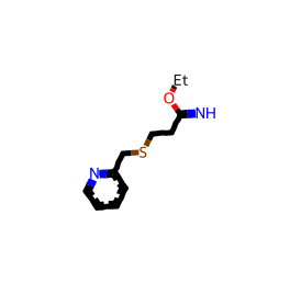 CCOC(=N)CCSCc1ccccn1